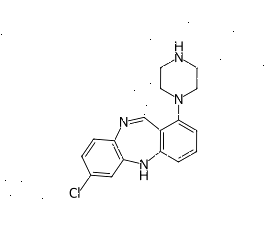 Clc1ccc2c(c1)Nc1cccc(N3CCNCC3)c1C=N2